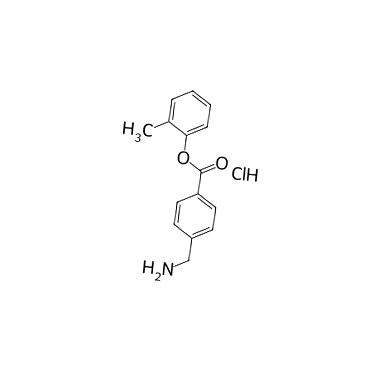 Cc1ccccc1OC(=O)c1ccc(CN)cc1.Cl